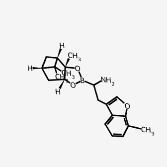 Cc1cccc2c(CC(N)B3O[C@@H]4C[C@@H]5C[C@@H](C5(C)C)[C@]4(C)O3)coc12